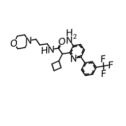 Nc1ccc(-c2cccc(C(F)(F)F)c2)nc1C(C(=O)NCCCN1CCOCC1)C1CCC1